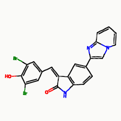 O=C1Nc2ccc(-c3cn4ccccc4n3)cc2C1=Cc1cc(Br)c(O)c(Br)c1